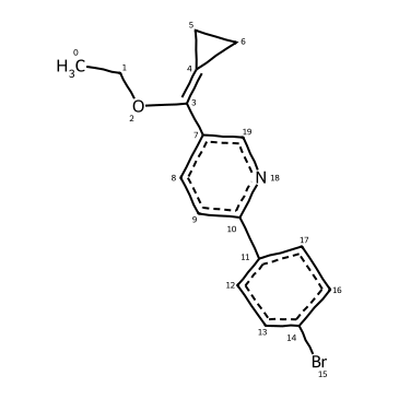 CCOC(=C1CC1)c1ccc(-c2ccc(Br)cc2)nc1